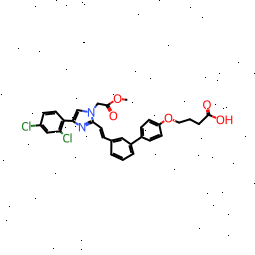 COC(=O)Cn1cc(-c2ccc(Cl)cc2Cl)nc1C=Cc1cccc(-c2ccc(OCCCC(=O)O)cc2)c1